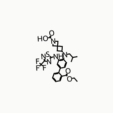 CCOC(=O)c1ccccc1-c1ccc(N(CC(C)C)C2CC3(C2)CN(C(=O)O)C3)c(Nc2nc(C(F)(F)F)ns2)c1